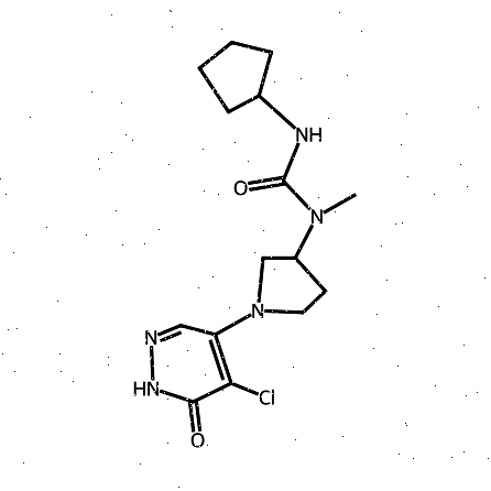 CN(C(=O)NC1CCCC1)C1CCN(c2cn[nH]c(=O)c2Cl)C1